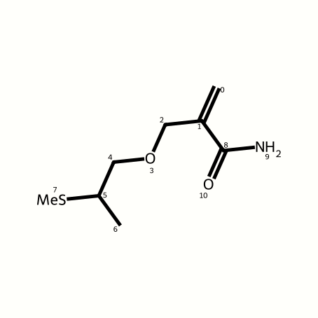 C=C(COCC(C)SC)C(N)=O